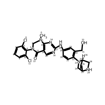 CN1CN(c2c(Cl)cccc2Cl)C(=O)c2cnc(Nc3ccc(N4CC5=C[C@H]4CN5)c(CO)c3)nc21